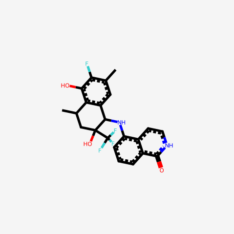 Cc1cc2c(c(O)c1F)C(C)CC(O)(C(F)(F)F)C2Nc1cccc2c(=O)[nH]ccc12